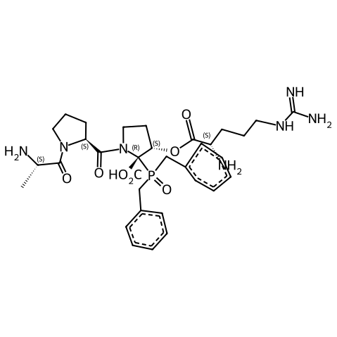 C[C@H](N)C(=O)N1CCC[C@H]1C(=O)N1CC[C@H](OC(=O)[C@@H](N)CCCNC(=N)N)[C@]1(C(=O)O)P(=O)(Cc1ccccc1)Cc1ccccc1